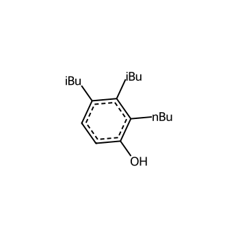 CCCCc1c(O)ccc(C(C)CC)c1C(C)CC